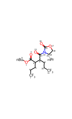 CCCCOC(=O)C(CCC(F)(F)F)C(CCC(F)(F)F)C(=O)N1C(=O)OC[C@@H]1C(C)C